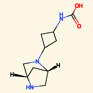 O=C(O)NC1CC(N2C[C@@H]3C[C@H]2CN3)C1